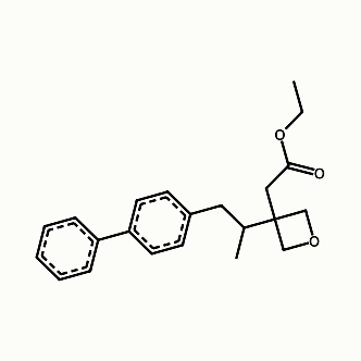 CCOC(=O)CC1(C(C)Cc2ccc(-c3ccccc3)cc2)COC1